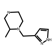 CC1C[N]CCN1Cc1cc[nH]n1